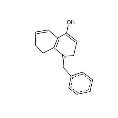 OC1=CCN(Cc2ccccc2)C2=C1C=CCC2